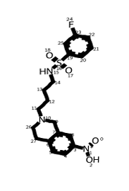 O=[N+](O)c1ccc2c(c1)CN(CCCCNS(=O)(=O)c1cccc(F)c1)CC2